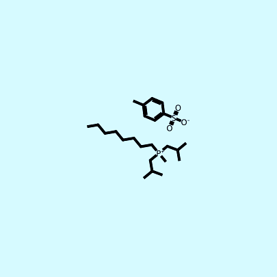 CCCCCCCC[P+](C)(CC(C)C)CC(C)C.Cc1ccc(S(=O)(=O)[O-])cc1